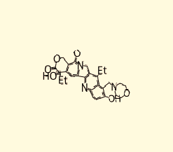 CCc1c2c(nc3ccc(O)c(CN4CCOCC4)c13)-c1cc3c(c(=O)n1C2)COC(=O)[C@]3(O)CC